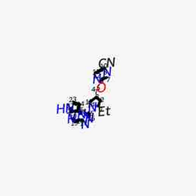 CC[C@H]1C[C@@H](COc2cnc(C#N)cn2)CN1c1nnc2cnc3[nH]ccc3n12